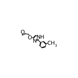 Cc1cccc(-c2nc(OCC3CO3)c[nH]2)c1